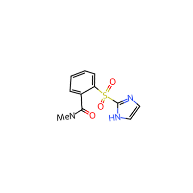 CNC(=O)c1ccccc1S(=O)(=O)c1ncc[nH]1